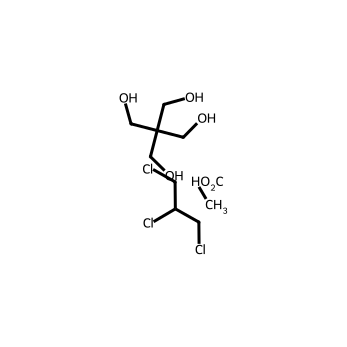 CC(=O)O.ClCC(Cl)CCl.OCC(CO)(CO)CO